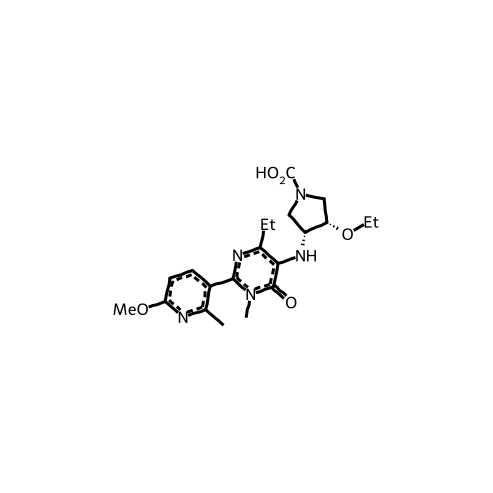 CCO[C@H]1CN(C(=O)O)C[C@H]1Nc1c(CC)nc(-c2ccc(OC)nc2C)n(C)c1=O